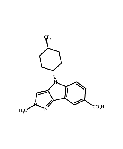 Cn1cc2c(n1)c1cc(C(=O)O)ccc1n2[C@H]1CC[C@H](C(F)(F)F)CC1